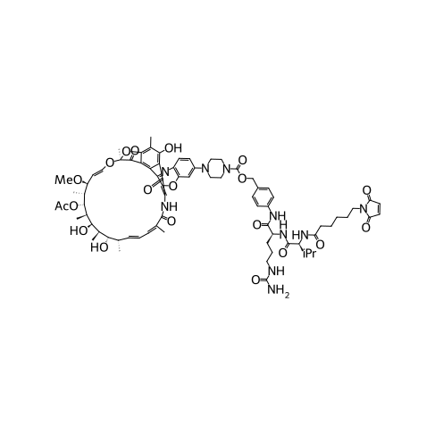 CO[C@H]1/C=C/O[C@@]2(C)Oc3c(C)c(O)c4c(=O)c(c5oc6cc(N7CCN(C(=O)OCc8ccc(NC(=O)[C@H](CCCNC(N)=O)NC(=O)[C@@H](NC(=O)CCCCCN9C(=O)C=CC9=O)C(C)C)cc8)CC7)ccc6nc-5c4c3C2=O)NC(=O)/C(C)=C\C=C\[C@H](C)[C@H](O)[C@@H](C)[C@@H](O)[C@@H](C)[C@H](OC(C)=O)[C@@H]1C